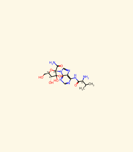 CC(C)[C@H](N)C(=O)Nc1ncnc2c1ncn2[C@]1(C(N)=O)O[C@H](CO)[C@@H](O)C1(O)O